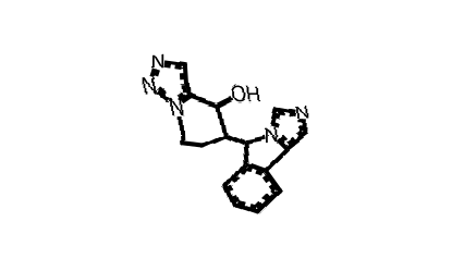 OC1c2cnnn2CCC1C1c2ccccc2-c2cncn21